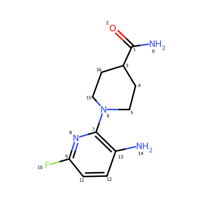 NC(=O)C1CCN(c2nc(F)ccc2N)CC1